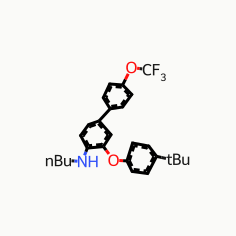 CCCCNc1ccc(-c2ccc(OC(F)(F)F)cc2)cc1Oc1ccc(C(C)(C)C)cc1